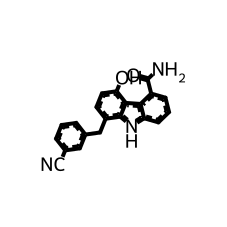 N#Cc1cccc(Cc2ccc(O)c3c2[nH]c2cccc(C(N)=O)c23)c1